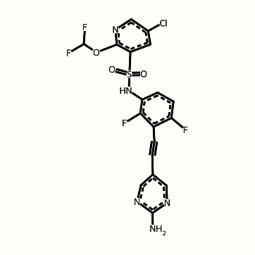 Nc1ncc(C#Cc2c(F)ccc(NS(=O)(=O)c3cc(Cl)cnc3OC(F)F)c2F)cn1